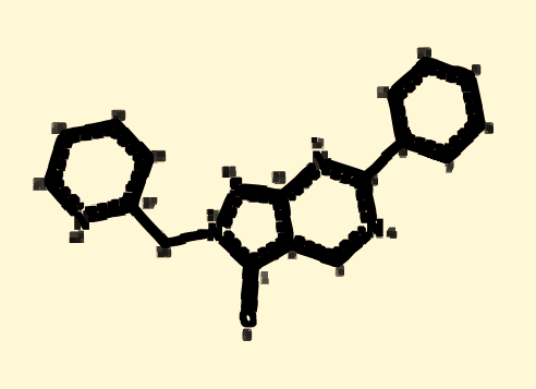 O=c1c2cnc(-c3ccccc3)nc2sn1Cc1ccccn1